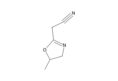 CC1CN=C(CC#N)O1